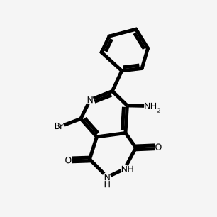 Nc1c(-c2ccccc2)nc(Br)c2c(=O)[nH][nH]c(=O)c12